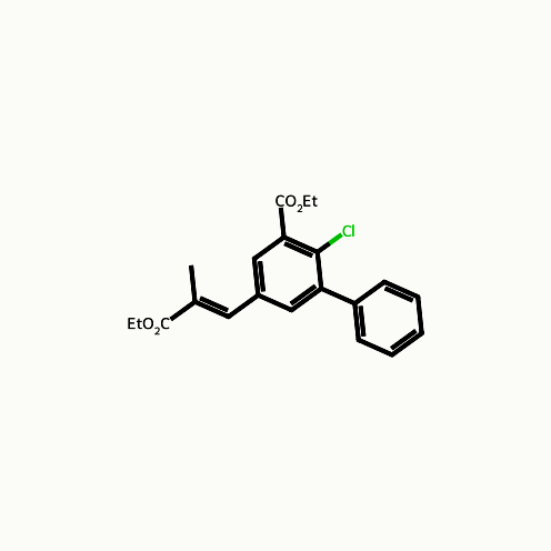 CCOC(=O)C(C)=Cc1cc(C(=O)OCC)c(Cl)c(-c2ccccc2)c1